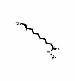 CCCCCCCCC=CCCCCCCCC(=O)OC(C)(C)C